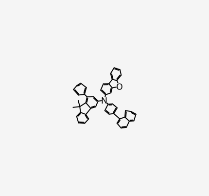 CC1(C)c2ccccc2-c2cc(N(c3ccc(-c4cccc5ccccc45)cc3)c3ccc4c(c3)oc3ccccc34)cc(-c3ccccc3)c21